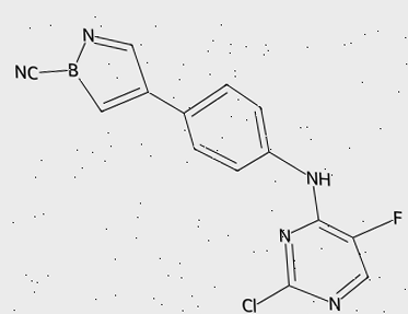 N#CB1C=C(c2ccc(Nc3nc(Cl)ncc3F)cc2)C=N1